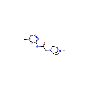 Cc1ccnc(NC(=O)CN2CC3CC2CN3C)c1